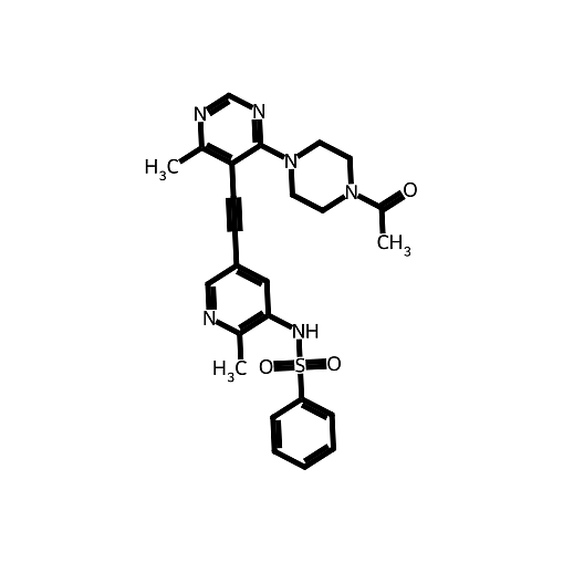 CC(=O)N1CCN(c2ncnc(C)c2C#Cc2cnc(C)c(NS(=O)(=O)c3ccccc3)c2)CC1